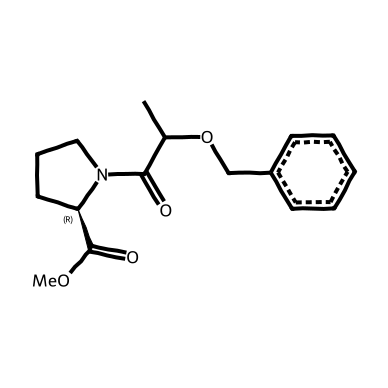 COC(=O)[C@H]1CCCN1C(=O)C(C)OCc1ccccc1